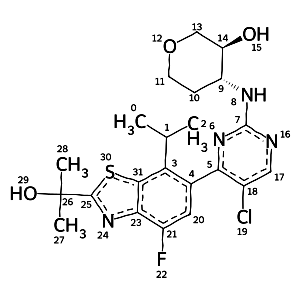 CC(C)c1c(-c2nc(N[C@@H]3CCOC[C@H]3O)ncc2Cl)cc(F)c2nc(C(C)(C)O)sc12